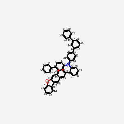 c1ccc(-c2ccc(N(c3ccc(-c4cccc(-c5ccccc5)c4)cc3)c3ccccc3-c3ccc4cc5oc6ccccc6c5cc4c3)cc2)cc1